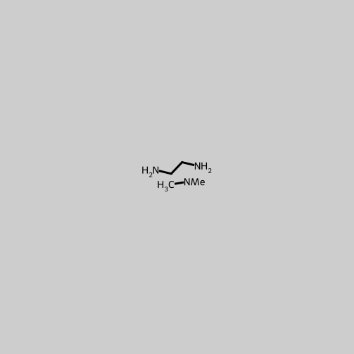 CNC.NCCN